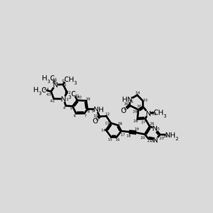 CC1CN(Cc2ccc(NC(=O)Cc3cccc(C#Cc4cnc(N)nc4-c4cc5c(n4C)CCNC5=O)c3)cc2C(F)(F)F)CC(C)N1C